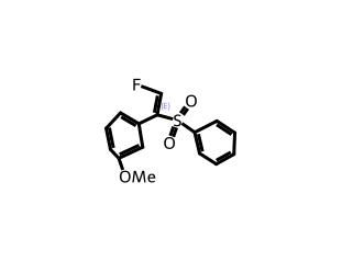 COc1cccc(/C(=C\F)S(=O)(=O)c2ccccc2)c1